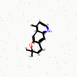 Cc1ccnc2cc3c(cc12)OC(C)(C)C=C3